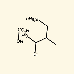 CCCCCCCCC(C)C(O)CC.O=C(O)O